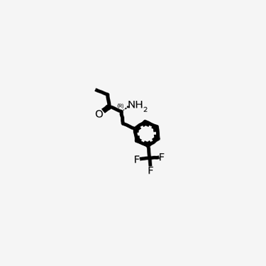 CCC(=O)[C@H](N)Cc1cccc(C(F)(F)F)c1